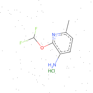 Cc1ccc(N)c(OC(F)F)n1.Cl